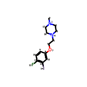 CN1CCN(CCOc2ccc(F)c(I)c2)CC1